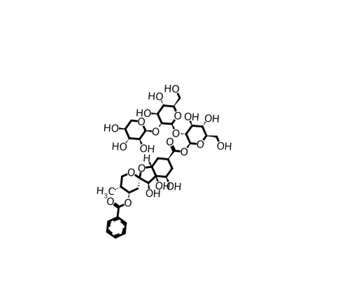 C[C@@H]1CO[C@@]2(C[C@@H]1OC(=O)c1ccccc1)O[C@@H]1C[C@@H](C(=O)O[C@@H]3O[C@H](CO)[C@@H](O)[C@H](O)[C@H]3O[C@@H]3O[C@H](CO)[C@@H](O)[C@H](O)[C@H]3O[C@@H]3OC[C@H](O)[C@@H](O)[C@@H]3O)C[C@@H](O)[C@]1(O)[C@H]2O